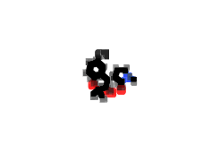 CN1CCC([C@H]2c3cc(C#N)ccc3OC(C)(C)[C@@H]2O)C1=O